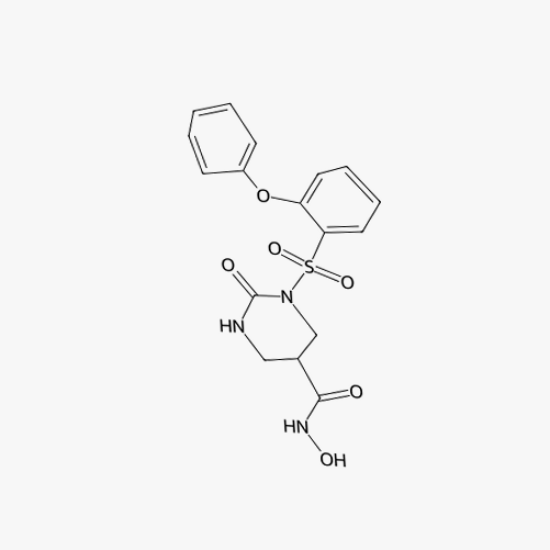 O=C(NO)C1CNC(=O)N(S(=O)(=O)c2ccccc2Oc2ccccc2)C1